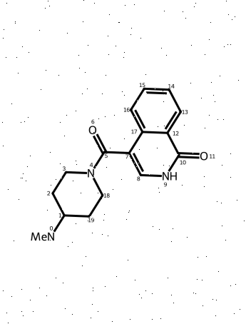 CNC1CCN(C(=O)c2c[nH]c(=O)c3ccccc23)CC1